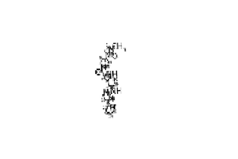 CN1CCN(C2CCN(C(=O)c3cc4cc(Nc5nccc(-c6ccccn6)n5)ccc4[nH]3)CC2)C1=O